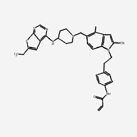 C=CC(=O)Nc1ccc(CCn2c(C#N)cc3c(C)c(CN4CCC(Nc5ncnc6sc(CC(F)(F)F)cc56)CC4)ccc32)cc1